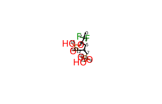 CC(F)(F)CCC(CS(=O)(=O)O)CS(=O)(=O)O